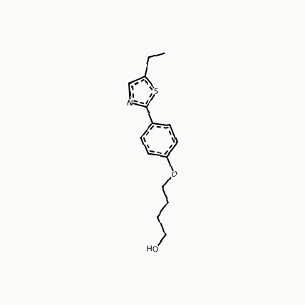 CCc1cnc(-c2ccc(OCCCCO)cc2)s1